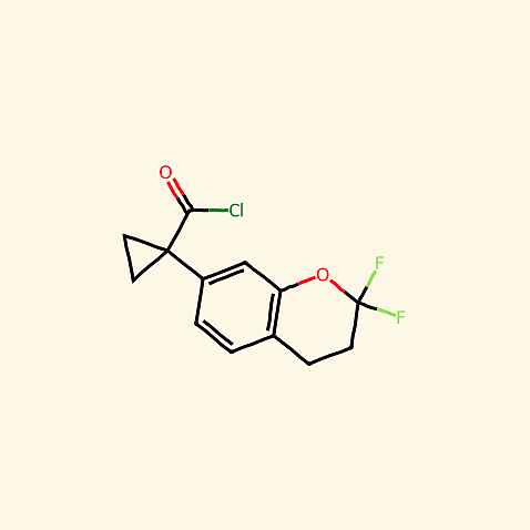 O=C(Cl)C1(c2ccc3c(c2)OC(F)(F)CC3)CC1